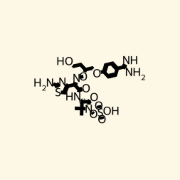 CC1(C)[C@H](NC(=O)C(=NOC(CCO)COc2ccc(C(=N)N)cc2)c2csc(N)n2)C(=O)N1OS(=O)(=O)O